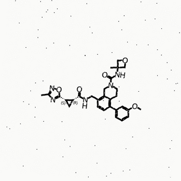 COc1cccc(-c2ccc(CNC(=O)[C@@H]3C[C@@H]3c3nc(C)no3)c3c2CCN(C(=O)NC2(C)COC2)C3)c1